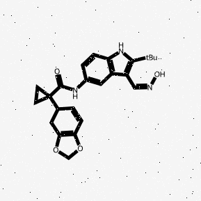 CC(C)(C)c1[nH]c2ccc(NC(=O)C3(C4C=CC5=C(C4)OCO5)CC3)cc2c1/C=N\O